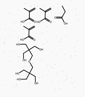 C=C(C)C(=O)O.C=C(C)C(=O)O.C=C(C)C(=O)O.CCC(=O)O.OCC(CO)(CO)COCC(CO)(CO)CO